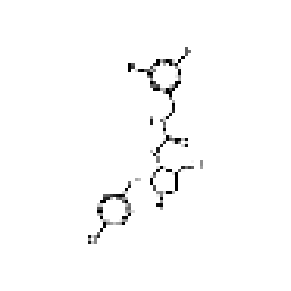 O=C(NCc1cc(F)cc(F)c1)O[C@@H]1[C@@H](O)CN[C@@H]1Cc1ccc(Cl)cc1